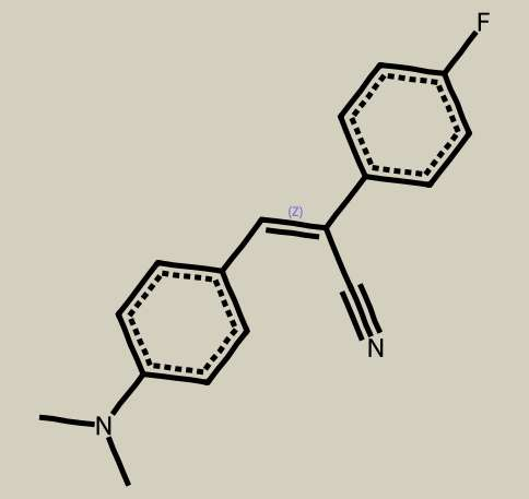 CN(C)c1ccc(/C=C(\C#N)c2ccc(F)cc2)cc1